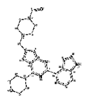 O=CN1CCN(Cc2cc3nc(-c4cccc5[nH]ncc45)nc(N4CCOCC4)c3s2)CC1